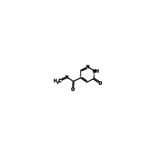 C=NC(=O)c1cn[nH]c(=O)c1